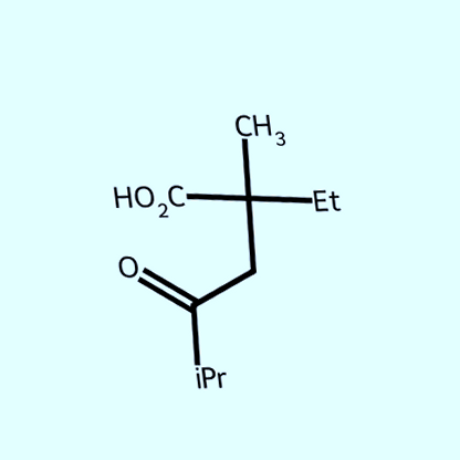 CCC(C)(CC(=O)C(C)C)C(=O)O